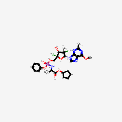 CCOc1nc(C)nc2c1ncn2[C@@H]1O[C@](F)(COP(=O)(NC(C)C(=O)OC2CCCC2)Oc2ccccc2)[C@@H](O)[C@@]1(C)F